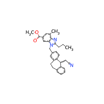 CCCc1nc2c(C)cc(C(=O)OC)cc2n1Cc1ccc2c(c1)CCc1ccccc1C2=CC#N